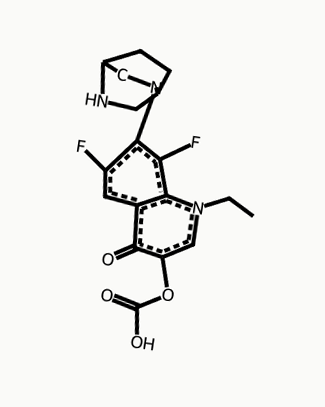 CCn1cc(OC(=O)O)c(=O)c2cc(F)c(N3CC4CCC3CN4)c(F)c21